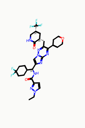 CCn1ccc(C(=O)N[C@H](c2cn3nc(C[C@H]4C[C@@H](C(F)(F)F)CNC4=O)c(C4CCOCC4)nc3n2)C2CCC(F)(F)CC2)n1